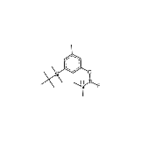 Cc1cc([O][Ti]([F])[SiH](C)C)cc([Si](C)(C)C(C)(C)C)c1